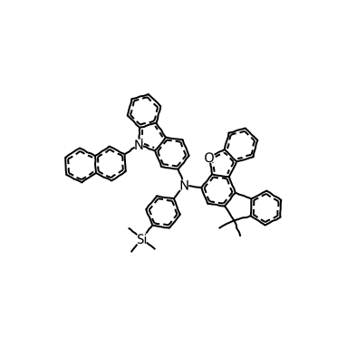 CC1(C)c2ccccc2-c2c1cc(N(c1ccc([Si](C)(C)C)cc1)c1ccc3c4ccccc4n(-c4ccc5ccccc5c4)c3c1)c1oc3ccccc3c21